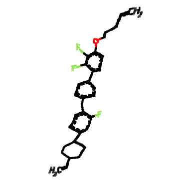 C=CCCCOc1ccc(-c2ccc(-c3ccc(C4CCC(C=C)CC4)cc3F)cc2)c(F)c1F